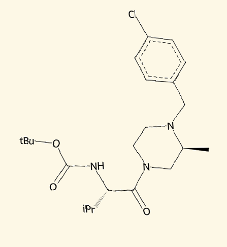 CC(C)[C@H](NC(=O)OC(C)(C)C)C(=O)N1CCN(Cc2ccc(Cl)cc2)[C@@H](C)C1